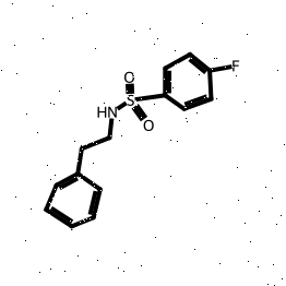 O=S(=O)(NCCc1cc[c]cc1)c1ccc(F)cc1